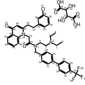 CCN(CC)CCN(Cc1ccc(-c2ccc(C(F)(F)F)cc2)cc1)C(=O)Cn1c(CCc2cccc(Cl)c2)cc(=O)c2ccccc21.O=C(O)C(O)C(O)C(=O)O